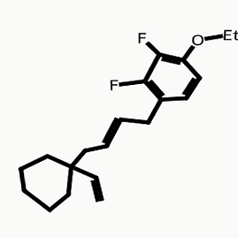 C=CC1(CC=CCc2ccc(OCC)c(F)c2F)CCCCC1